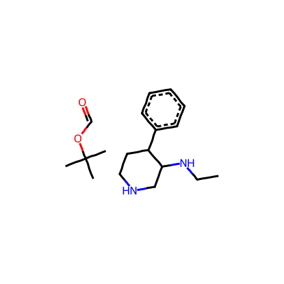 CC(C)(C)OC=O.CCNC1CNCCC1c1ccccc1